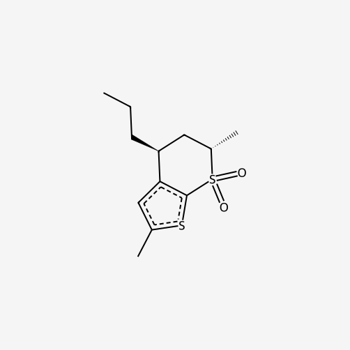 CCC[C@H]1C[C@H](C)S(=O)(=O)c2sc(C)cc21